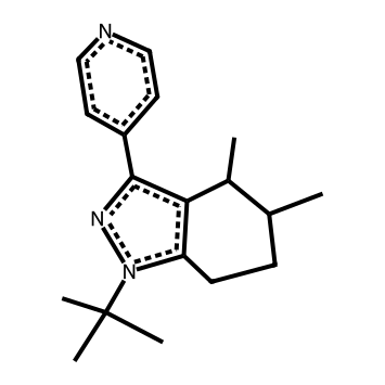 CC1CCc2c(c(-c3ccncc3)nn2C(C)(C)C)C1C